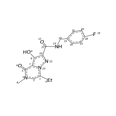 CCc1cn(C)c(=O)c2c(O)c(C(=O)NCc3ccc(F)cc3)nn12